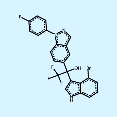 OC(c1ccc2c(cnn2-c2ccc(F)cc2)c1)(c1c[nH]c2cccc(Br)c12)C(F)(F)F